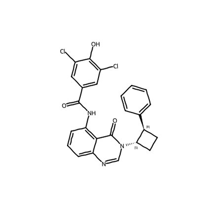 O=C(Nc1cccc2ncn([C@H]3CC[C@@H]3c3ccccc3)c(=O)c12)c1cc(Cl)c(O)c(Cl)c1